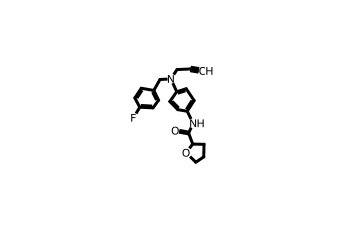 C#CCN(Cc1ccc(F)cc1)c1ccc(NC(=O)C2CCCO2)cc1